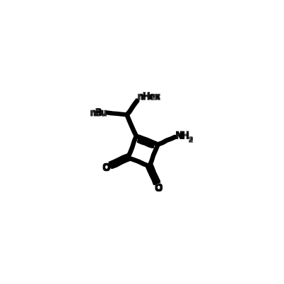 CCCCCCC(CCCC)c1c(N)c(=O)c1=O